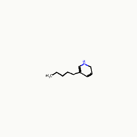 CCCCCC1=CNCC=C1